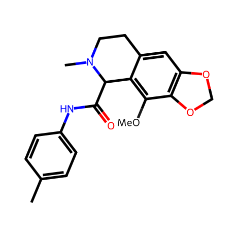 COc1c2c(cc3c1C(C(=O)Nc1ccc(C)cc1)N(C)CC3)OCO2